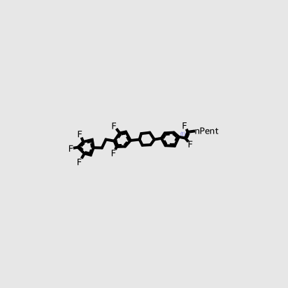 CCCCC/C(F)=C(\F)c1ccc(C2CCC(c3cc(F)c(CCc4cc(F)c(F)c(F)c4)c(F)c3)CC2)cc1